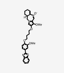 COc1cc(-c2nc3ccccc3s2)ccc1OCCCCOc1cn2c(c1OC)C=[N+]([O-])C1=CCCC[C@H]1C2